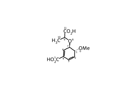 CO[C@@H]1C=CC(C(=O)O)=C[C@H]1OC(C)C(=O)O